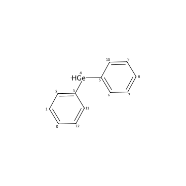 c1cc[c]([GeH][c]2ccccc2)cc1